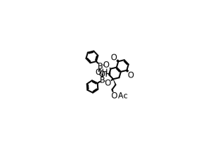 CC(=O)OCC[C@]1(OB(O)c2ccccc2)CC2=C(C(=O)C=CC2=O)[C@@H](OB(O)c2ccccc2)C1